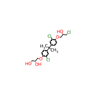 CC(C)(c1ccc(OC[C@H](O)CO)c(Cl)c1)c1ccc(OC[C@@H](O)CCl)c(Cl)c1